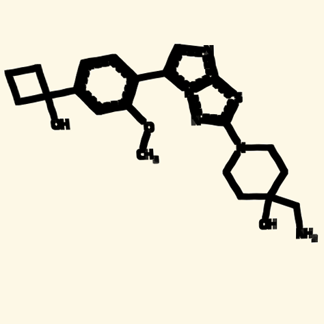 COc1cc(C2(O)CCC2)ccc1-c1cnc2sc(N3CCC(O)(CN)CC3)nn12